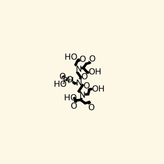 O=CCC(C(=O)O)N(CCN(CCN(CC(=O)O)C(CC=O)C(=O)O)CO[PH](=O)O)CC(=O)O